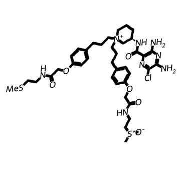 CSCCNC(=O)COc1ccc(CCC[N+]2(CCCc3ccc(OCC(=O)NCC[S+](C)[O-])cc3)CCC[C@H](NC(=O)c3nc(Cl)c(N)nc3N)C2)cc1